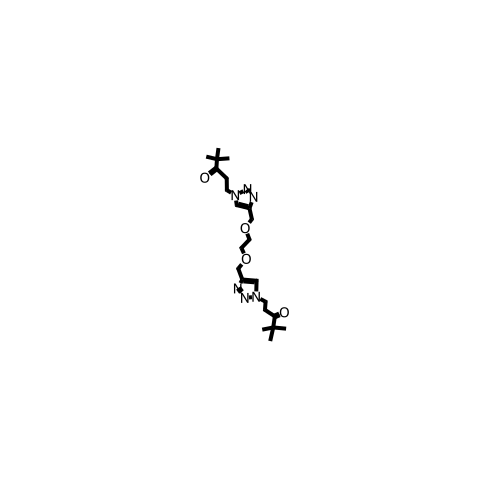 CC(C)(C)C(=O)CCn1cc(COCCOCc2cn(CCC(=O)C(C)(C)C)nn2)nn1